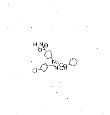 NS(=O)(=O)c1ccc(N2CC(O)(COc3ccccc3)N=C2c2ccc(Cl)cc2)cc1